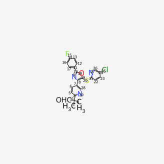 CC(C)(C=O)c1ccc(-c2nc(-c3ccc(F)cc3)oc2Sc2ccc(Cl)cn2)cn1